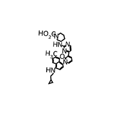 Cc1ccc2c(NCCC3CC3)cccc2c1Oc1ncccc1-c1ccnc(N[C@H]2CCCN(C(=O)O)C2)n1